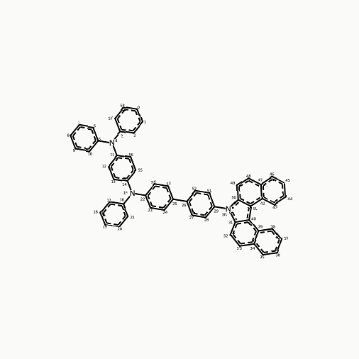 c1ccc(N(c2ccccc2)c2ccc(N(c3ccccc3)c3ccc(-c4ccc(-n5c6ccc7ccccc7c6c6c7ccccc7ccc65)cc4)cc3)cc2)cc1